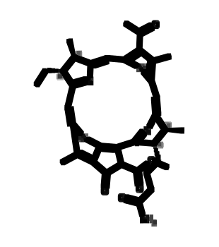 CC[C@H]1c2cc3[nH]c4c(c3C)C(=O)C(C(=O)OC)c4c3nc(cc4[nH]c(cc(n2)[C@@H]1C)c(C(C)=O)c4C)[C@@H](C)[C@@H]3CCCC(N)=O